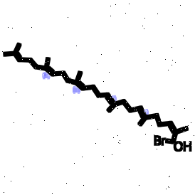 CC(C)=CCC/C(C)=C/CC/C(C)=C/CC/C=C(\C)CC/C=C(\C)CCC=C(C)C(O)Br